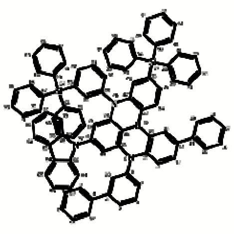 c1ccc(-c2cccc(N3c4ccc(-c5ccccc5)cc4B4c5ccc([Si](c6ccccc6)(c6ccccc6)c6ccccc6)cc5N(c5cccc([Si](c6ccccc6)(c6ccccc6)c6ccccc6)c5)c5cc(-n6c7ccccc7c7ccccc76)cc3c54)c2)cc1